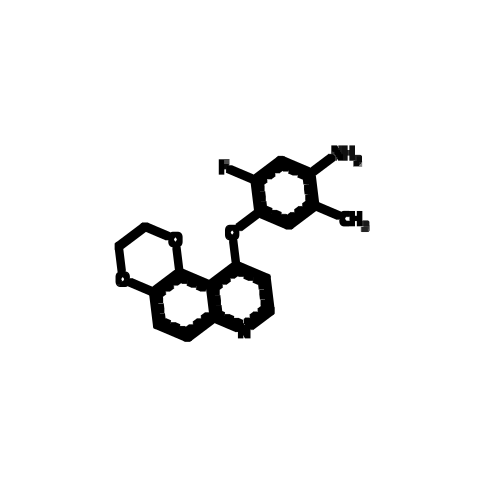 Cc1cc(Oc2ccnc3ccc4c(c23)OCCO4)c(F)cc1N